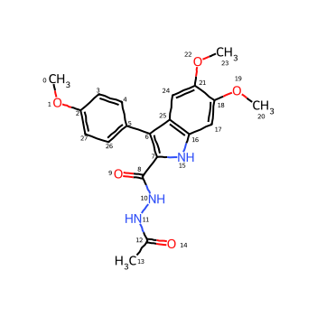 COc1ccc(-c2c(C(=O)NNC(C)=O)[nH]c3cc(OC)c(OC)cc23)cc1